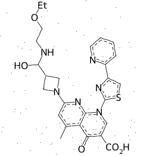 CCOCCNC(O)C1CN(c2cc(C)c3c(=O)c(C(=O)O)cn(-c4nc(-c5ccccn5)cs4)c3n2)C1